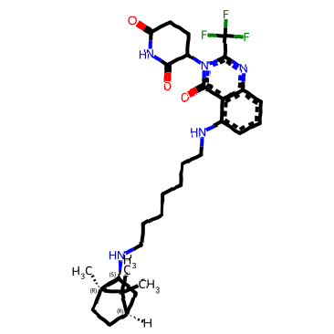 CC1(C)[C@@H]2CC[C@@]1(C)[C@@H](NCCCCCCCNc1cccc3nc(C(F)(F)F)n(C4CCC(=O)NC4=O)c(=O)c13)C2